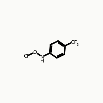 FC(F)(F)c1ccc(NOCl)cc1